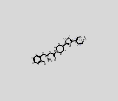 C/C=C\C(=C/C)c1noc(C2CCN(C(=O)C[C@H](N)Cc3ccccc3F)CC2)n1